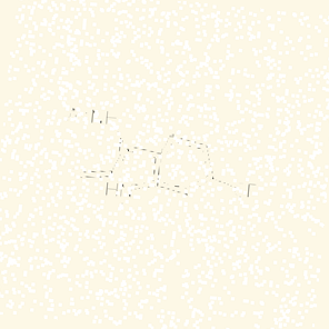 CC(=O)Nn1c(=S)[nH]c2cc(C(F)(F)F)ccc21